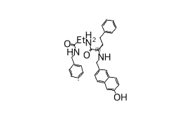 CCC(=O)NCc1cc[c]cc1.NC(=O)[C@@H](CCc1ccccc1)NCc1ccc2cc(O)ccc2c1